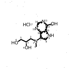 CN(C[C@@H](O)CO)c1c[nH]c2c(O)ncnc12.Cl